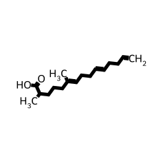 C=CCC/C=C/CC/C=C(\C)CCCC(C)C(=O)O